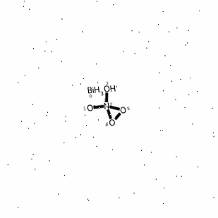 [BiH3].[O-][N+]1(O)OO1